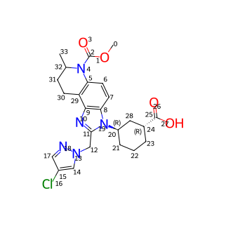 COC(=O)N1c2ccc3c(nc(Cn4cc(Cl)cn4)n3[C@@H]3CCC[C@@H](C(=O)O)C3)c2CCC1C